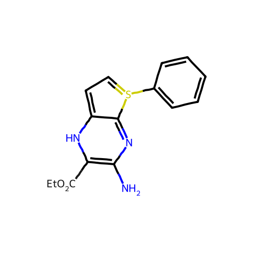 CCOC(=O)C1=C(N)N=C2C(=CC=S2c2ccccc2)N1